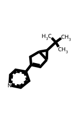 CC(C)(C)C1C2C=C(c3ccncc3)CC21